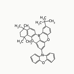 CC(C)(C)c1ccc2c(c1)B1c3ccc4c(c3Oc3cc(N5c6ccccc6Oc6ccccc65)cc(c31)O2)C(C)(C)CCC4(C)C